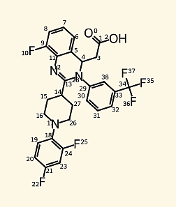 O=C(O)CC1c2cccc(F)c2N=C(C2CCN(c3ccc(F)cc3F)CC2)N1c1cccc(C(F)(F)F)c1